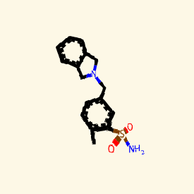 Cc1ccc(CN2Cc3ccccc3C2)cc1S(N)(=O)=O